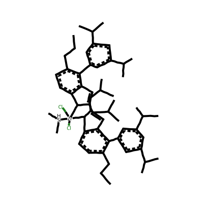 CCCc1ccc2c(c1-c1cc(C(C)C)cc(C(C)C)c1)C=C(CC(C)C)[CH]2[Zr]([Cl])([Cl])([CH]1C(CC(C)C)=Cc2c1ccc(CCC)c2-c1cc(C(C)C)cc(C(C)C)c1)[SiH](C)C